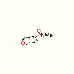 CNC(=O)c1ccc2c(c1)C=COC2